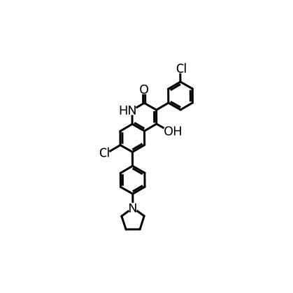 O=c1[nH]c2cc(Cl)c(-c3ccc(N4CCCC4)cc3)cc2c(O)c1-c1cccc(Cl)c1